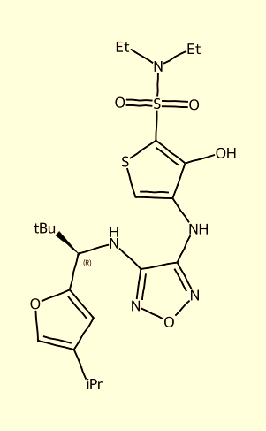 CCN(CC)S(=O)(=O)c1scc(Nc2nonc2N[C@@H](c2cc(C(C)C)co2)C(C)(C)C)c1O